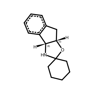 c1ccc2c(c1)C[C@@H]1OC3(CCCCC3)N[C@H]21